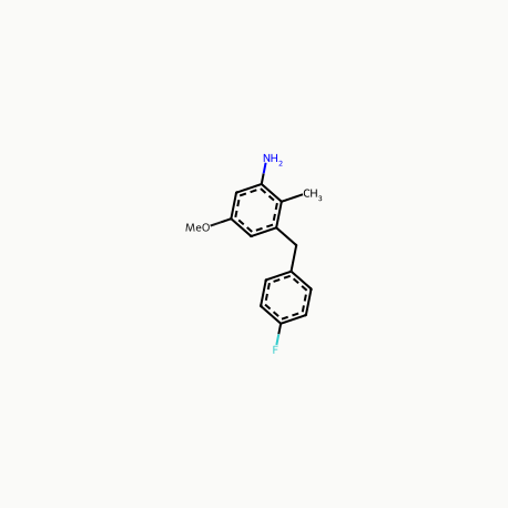 COc1cc(N)c(C)c(Cc2ccc(F)cc2)c1